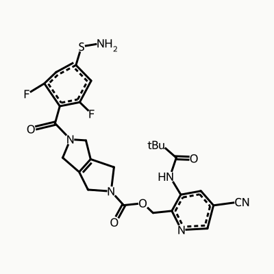 CC(C)(C)C(=O)Nc1cc(C#N)cnc1COC(=O)N1CC2=C(C1)CN(C(=O)c1c(F)cc(SN)cc1F)C2